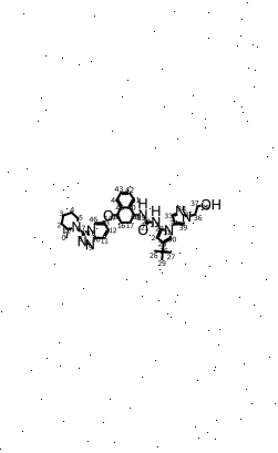 C[C@H]1CCCCN1c1nnc2ccc(O[C@@H]3CC[C@H](NC(=O)Nc4cc(C(C)(C)C)cn4-c4cnn(CCO)c4)c4ccccc43)cn12